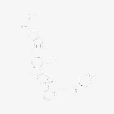 C#CC(=O)N1Cc2cnn(Cc3cc(OC)c4c(NS(=O)(=O)c5ccccc5OCCC(=O)N5CCNCC5)noc4c3)c2C1